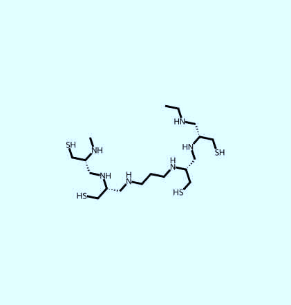 CCNC[C@H](CS)NC[C@H](CS)NCCCNC[C@H](CS)NC[C@H](CS)NC